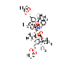 COC(=O)CCc1cc(C(C)(C)C)c(OP2OCC3(CO2)COP(Oc2c(C(C)(C)C)cc(CCC(=O)OC)cc2C(C)(C)C)N3Cc2ccccc2)c(C(C)(C)C)c1